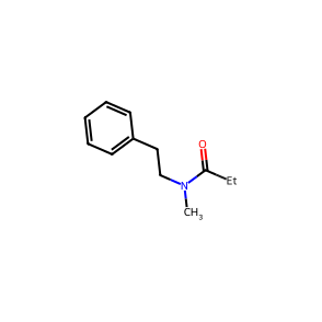 CCC(=O)N(C)CCc1ccccc1